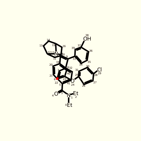 CCN(CC)C(=O)c1ccc(C(=C2CC3CCC(C2)N3Cc2cccc(Oc3ccc(Cl)cc3)c2)c2cccc(O)c2)cc1